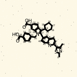 Cc1nc(C)c(-c2ccc3cc(-c4c(C5CCCCC5)c5ccc(C(=O)O)cc5n4Cc4ccc(C(=O)O)cc4)ccc3n2)s1